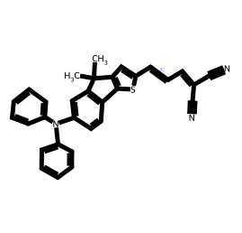 CC1(C)c2cc(N(c3ccccc3)c3ccccc3)ccc2-c2sc(/C=C/C=C(C#N)C#N)cc21